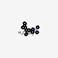 Cc1cccc(C)c1-c1cc2c(cc3c4ccccc4c4cccc2c43)c2cc3c(cc12)c1cccc2c(N(c4ccccc4)c4ccccc4)ccc3c21